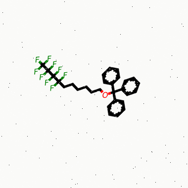 FC(F)(F)C(F)(F)C(F)(F)C(F)(F)CCCCCCOC(c1ccccc1)(c1ccccc1)c1ccccc1